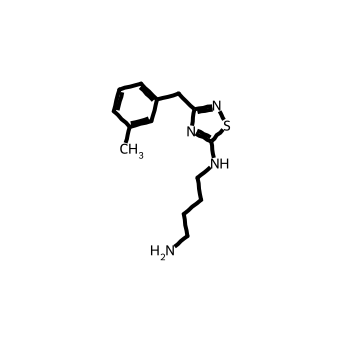 Cc1cccc(Cc2nsc(NCCCCN)n2)c1